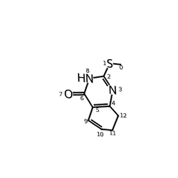 CSc1nc2c(c(=O)[nH]1)C=CCC2